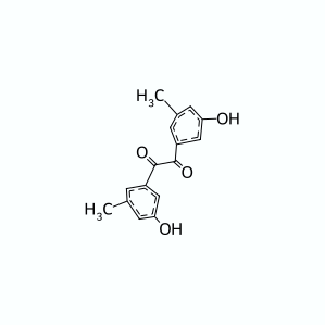 Cc1cc(O)cc(C(=O)C(=O)c2cc(C)cc(O)c2)c1